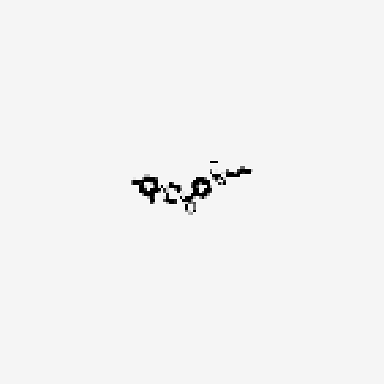 CCCCSNc1ccc(C(=O)N2CCN(c3ccc(C)cc3C)CC2)cc1